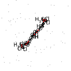 CN1Cc2c(Cl)cc(Cl)cc2C(c2ccc(SNCCOCCOCCNC(=O)COCC(=O)NCCOCCOCCN[S+]([O-])c3ccc(C4CN(C)Cc5c(Cl)cc(Cl)cc54)cc3)cc2)C1